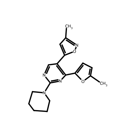 Cc1cc(-c2cnc(N3CCCCC3)nc2-c2ccc(C)o2)on1